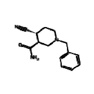 N#C[C@@H]1CCN(Cc2ccccc2)C[C@H]1C(N)=O